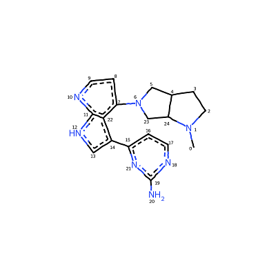 CN1CCC2CN(c3ccnc4[nH]cc(-c5ccnc(N)n5)c34)CC21